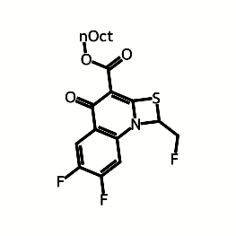 CCCCCCCCOC(=O)c1c2n(c3cc(F)c(F)cc3c1=O)C(CF)S2